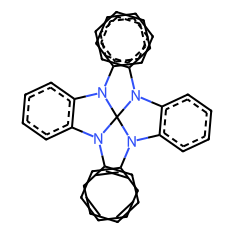 C1=CCCC(N2c3ccccc3N(c3ccccc3)C23N(C2=CC=CCC2)c2ccccc2N3c2ccccc2)=C1